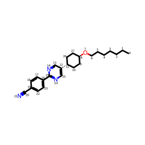 CCCCCCCO[C@H]1CC[C@H](c2cnc(-c3ccc(C#N)cc3)nc2)CC1